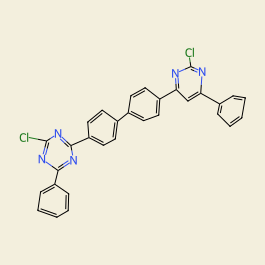 Clc1nc(-c2ccccc2)cc(-c2ccc(-c3ccc(-c4nc(Cl)nc(-c5ccccc5)n4)cc3)cc2)n1